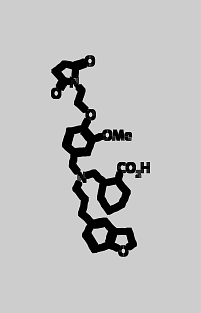 COc1cc(CN(CCCc2ccc3c(c2)CCO3)CC2CCCCC2C(=O)O)ccc1OCCN1C(=O)CCC1=O